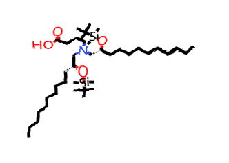 CCCCCCCCCC[C@H](CN(CCCC(=O)O)C[C@@H](CCCCCCCCCC)O[Si](C)(C)C(C)(C)C)O[Si](C)(C)C(C)(C)C